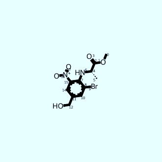 COC(=O)[C@H](C)Nc1c(Br)cc(CO)cc1[N+](=O)[O-]